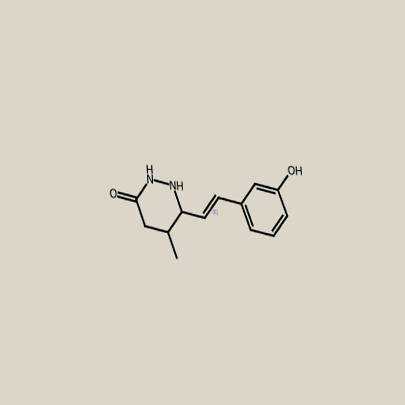 CC1CC(=O)NNC1/C=C/c1cccc(O)c1